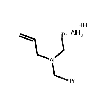 C=C[CH2][Al]([CH2]C(C)C)[CH2]C(C)C.[AlH3].[HH]